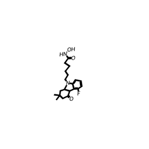 CC1(C)CC(=O)C2c3c(F)cccc3N(CCCCCC(=O)NO)C2C1